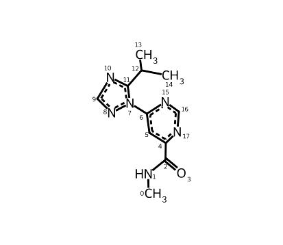 CNC(=O)c1cc(-n2ncnc2C(C)C)ncn1